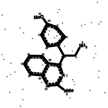 CNc1nc(C(CN)c2ccc(OC)cc2)c2ccccc2n1